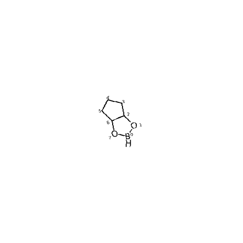 B1OC2CCCC2O1